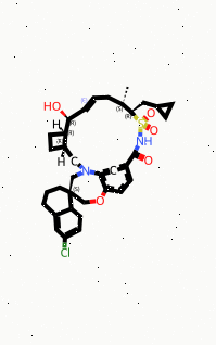 C[C@H]1C/C=C/[C@H](O)[C@@H]2CC[C@H]2CN2C[C@@]3(CCCC4=CC(Cl)=CCC43)COc3ccc(cc32)C(=O)NS(=O)(=O)[C@@H]1CC1CC1